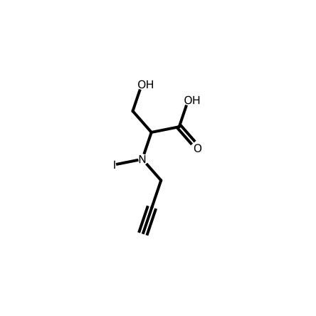 C#CCN(I)C(CO)C(=O)O